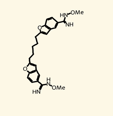 CONC(=N)c1ccc2oc(CCCCCc3cc4cc(C(=N)NOC)ccc4o3)cc2c1